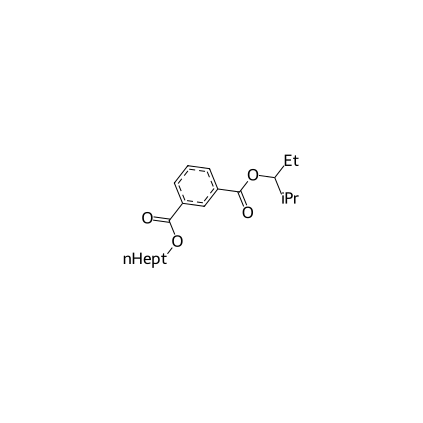 CCCCCCCOC(=O)c1cccc(C(=O)OC(CC)C(C)C)c1